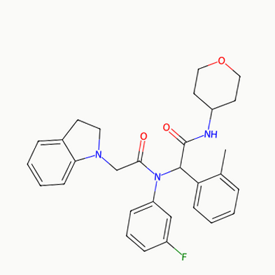 Cc1ccccc1C(C(=O)NC1CCOCC1)N(C(=O)CN1CCc2ccccc21)c1cccc(F)c1